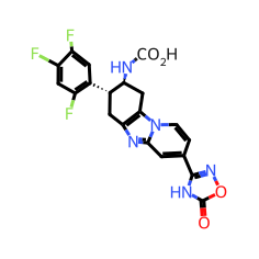 O=C(O)N[C@H]1Cc2c(nc3cc(-c4noc(=O)[nH]4)ccn23)C[C@@H]1c1cc(F)c(F)cc1F